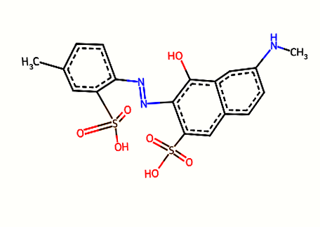 CNc1ccc2cc(S(=O)(=O)O)c(N=Nc3ccc(C)cc3S(=O)(=O)O)c(O)c2c1